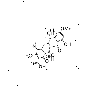 COc1cc(O)c2c(c1Cl)C(C)(O)C1CC3C(N(C)C)C(O)=C(C(N)=O)C(=O)C3(O)C(O)=C1C2=O